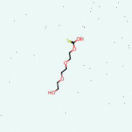 OCCOCCOCCOC(O)=S